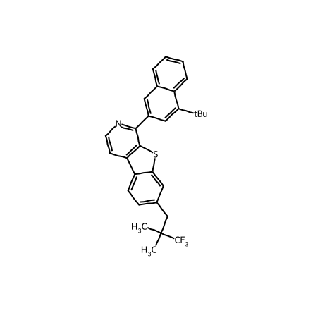 CC(C)(C)c1cc(-c2nccc3c2sc2cc(CC(C)(C)C(F)(F)F)ccc23)cc2ccccc12